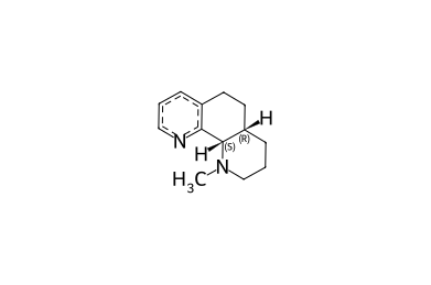 CN1CCC[C@H]2CCc3cccnc3[C@H]21